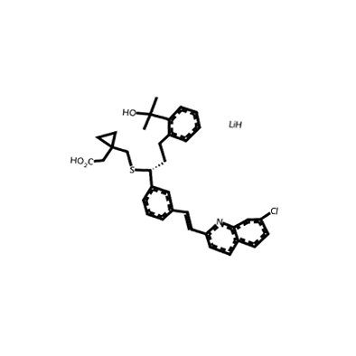 CC(C)(O)c1ccccc1CC[C@@H](SCC1(CC(=O)O)CC1)c1cccc(C=Cc2ccc3ccc(Cl)cc3n2)c1.[LiH]